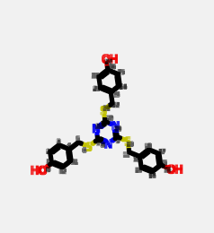 Oc1ccc(CSc2nc(SCc3ccc(O)cc3)nc(SCc3ccc(O)cc3)n2)cc1